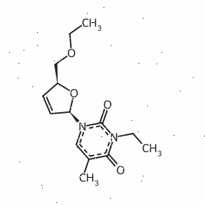 CCOC[C@@H]1C=C[C@H](n2cc(C)c(=O)n(CC)c2=O)O1